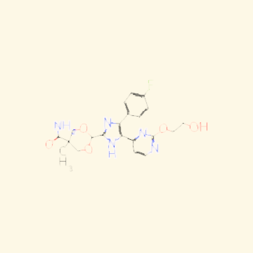 CC1(C(N)=O)COC(c2nc(-c3ccc(F)cc3)c(-c3ccnc(OCCO)n3)[nH]2)OC1